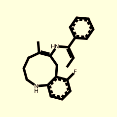 C/C=C(\N/C1=C(\C)CCCNc2cccc(F)c2C1)c1ccccc1